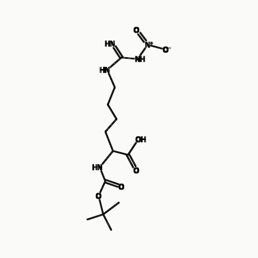 CC(C)(C)OC(=O)NC(CCCCNC(=N)N[N+](=O)[O-])C(=O)O